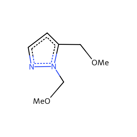 COCc1ccnn1COC